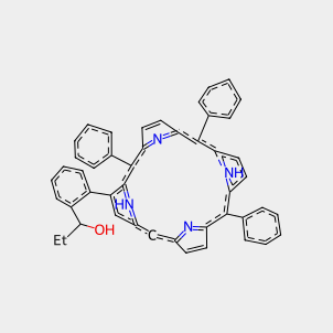 CCC(O)c1ccccc1-c1cc2cc3nc(c(-c4ccccc4)c4ccc([nH]4)c(-c4ccccc4)c4nc(c(-c5ccccc5)c1[nH]2)C=C4)C=C3